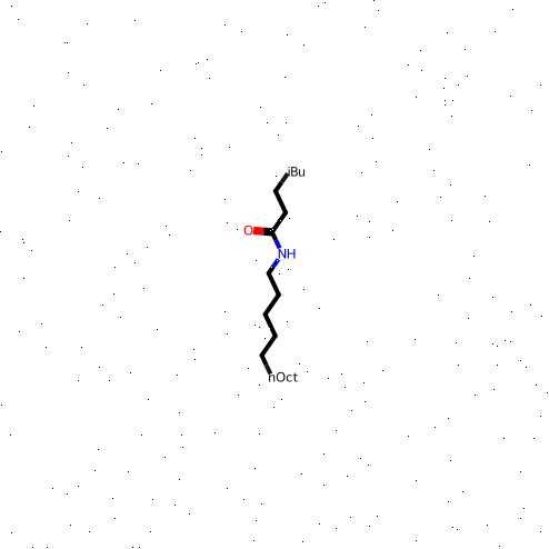 CCCCCCCCCCCCCNC(=O)CCC(C)CC